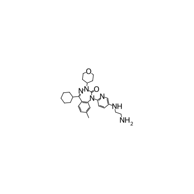 Cc1ccc2c(c1)N(c1ccc(NCCN)cn1)C(=O)N(C1CCOCC1)N=C2C1CCCCC1